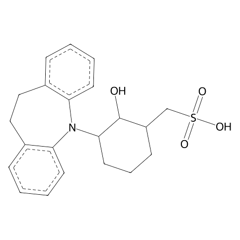 O=S(=O)(O)CC1CCCC(N2c3ccccc3CCc3ccccc32)C1O